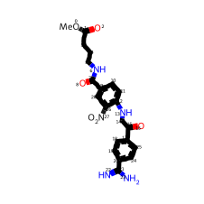 COC(=O)CCCNC(=O)c1ccc(NCC(=O)c2ccc(C(=N)N)cc2)c([N+](=O)[O-])c1